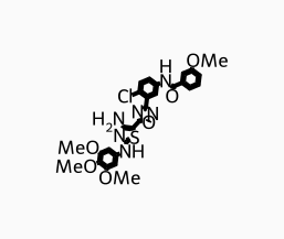 COc1cccc(C(=O)Nc2ccc(Cl)c(-c3noc(-c4sc(Nc5cc(OC)c(OC)c(OC)c5)nc4N)n3)c2)c1